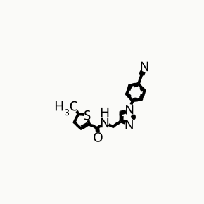 CC1CC=C(C(=O)NCc2cn(-c3ccc(C#N)cc3)cn2)S1